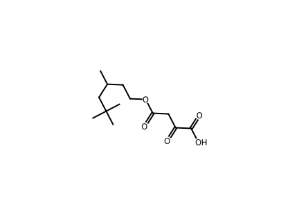 CC(CCOC(=O)CC(=O)C(=O)O)CC(C)(C)C